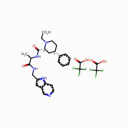 CC(NC(=O)[C@H]1C[C@@H](c2ccccc2)CCN1CC(=O)O)C(=O)NCc1cc2cnccc2[nH]1.O=C(O)C(F)(F)F.O=C(O)C(F)(F)F